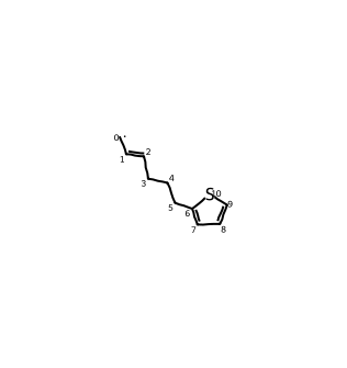 [CH2]/C=C/CCCc1cccs1